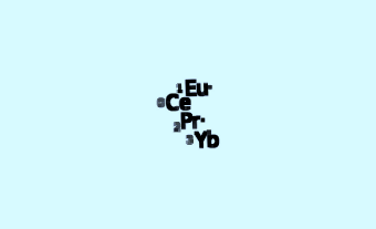 [Ce].[Eu].[Pr].[Yb]